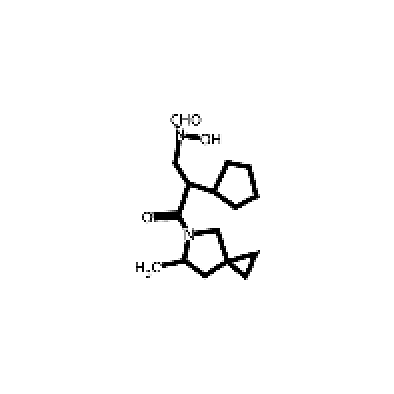 CC1CC2(CC2)CN1C(=O)C(CN(O)C=O)C1CCCC1